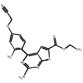 CCOC(=O)c1cc2c(-c3ccc(OCC#N)cc3C)nc(N)nc2s1